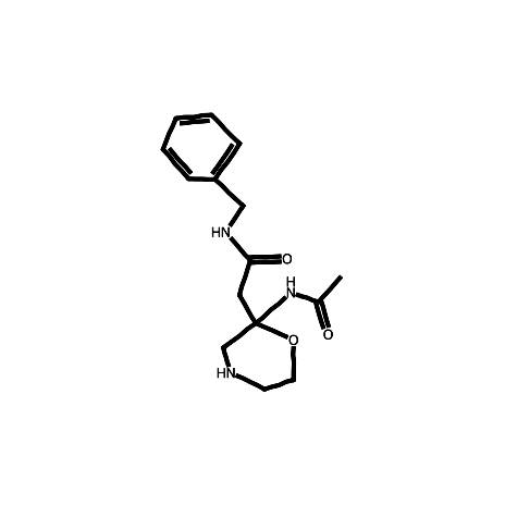 CC(=O)NC1(CC(=O)NCc2ccccc2)CNCCO1